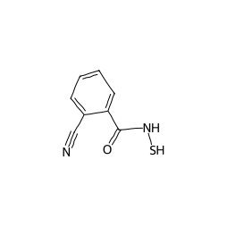 N#Cc1ccccc1C(=O)NS